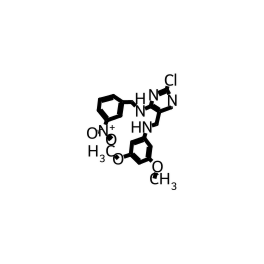 COc1cc(NCc2cnc(Cl)nc2NCc2cccc([N+](=O)[O-])c2)cc(OC)c1